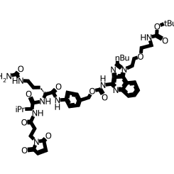 CCCCc1nc2c(NC(=O)OCc3ccc(NC(=O)[C@@H](CCCNC(N)=O)NC(=O)C(NC(=O)CCN4C(=O)C=CC4=O)C(C)C)cc3)nc3ccccc3c2n1CCOCCNC(=O)OC(C)(C)C